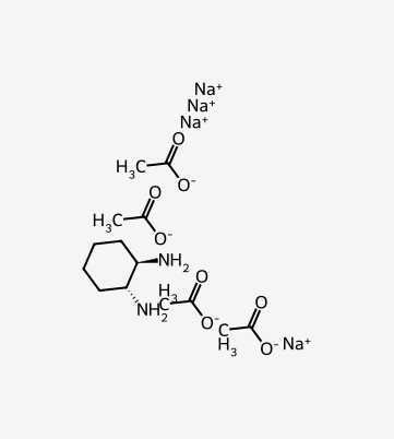 CC(=O)[O-].CC(=O)[O-].CC(=O)[O-].CC(=O)[O-].N[C@@H]1CCCC[C@H]1N.[Na+].[Na+].[Na+].[Na+]